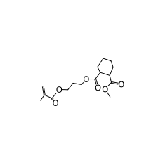 C=C(C)C(=O)OCCCOC(=O)C1CCCCC1C(=O)OC